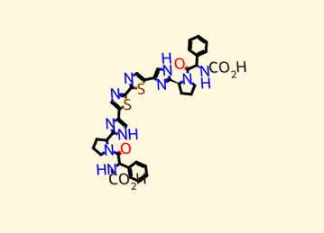 O=C(O)NC(C(=O)N1CCCC1c1nc(-c2cnc(-c3ncc(-c4c[nH]c([C@@H]5CCCN5C(=O)[C@H](NC(=O)O)c5ccccc5)n4)s3)s2)c[nH]1)c1ccccc1